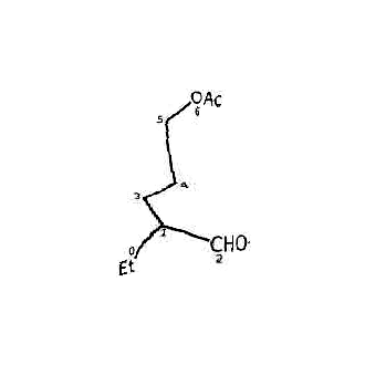 CCC([C]=O)CCCOC(C)=O